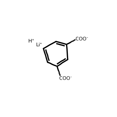 O=C([O-])c1cccc(C(=O)[O-])c1.[H+].[Li+]